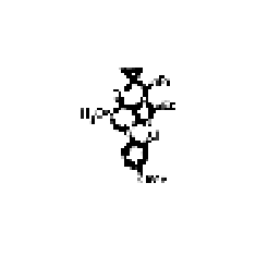 CCCC(n1c(CC)nc2c1C(=O)N(C)CN2c1ccc(OC)cc1Cl)C1(I)CC1